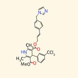 COC(=O)C1=C(C)NC(C)=C(C(=O)OC/C=C/c2ccc(Cn3ccnc3)cc2)C1c1cccc(C(Cl)(Cl)Cl)c1